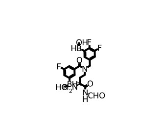 N[C@@H](CCN(Cc1cc(F)c(F)c(BO)c1)C(=O)c1cc(F)cc(BO)c1)C(=O)NC=O